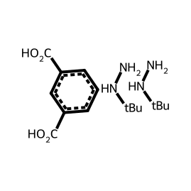 CC(C)(C)NN.CC(C)(C)NN.O=C(O)c1cccc(C(=O)O)c1